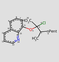 CCCCCC(C)C(Cl)(Oc1cccc2cccnc12)C(=O)O